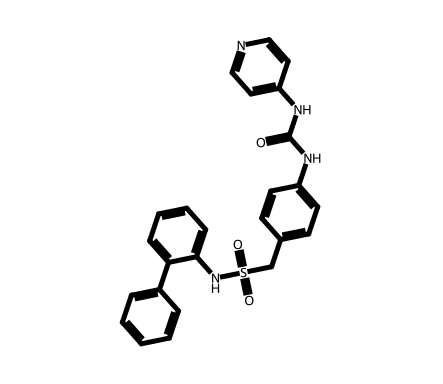 O=C(Nc1ccncc1)Nc1ccc(CS(=O)(=O)Nc2ccccc2-c2ccccc2)cc1